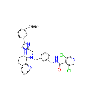 COc1cccc(-c2c[nH]c(CN(Cc3cccc(CNC(=O)c4c(Cl)cncc4Cl)c3)C3CCCc4cccnc43)n2)c1